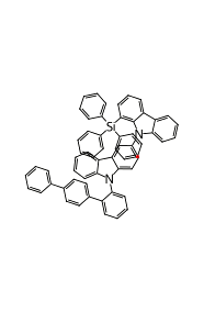 c1ccc(-c2ccc(-c3ccccc3-n3c4ccccc4c4cc(-n5c6ccccc6c6cccc([Si](c7ccccc7)(c7ccccc7)c7ccccc7)c65)ccc43)cc2)cc1